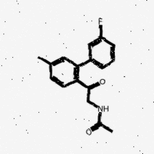 CC(=O)NCC(=O)c1ccc(C)cc1-c1cccc(F)c1